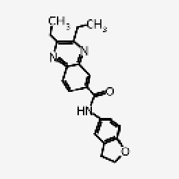 CCc1nc2ccc(C(=O)Nc3ccc4c(c3)CCO4)cc2nc1CC